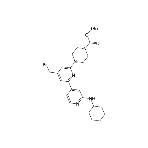 CC(C)(C)OC(=O)N1CCN(c2cc(CBr)cc(-c3ccnc(NC4CCCCC4)c3)n2)CC1